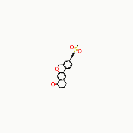 CS(=O)(=O)C#Cc1ccc2c(c1)COc1cc3c(cc1-2)CCCC3=O